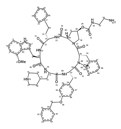 COc1cccc2[nH]cc(C[C@H]3NC(=O)[C@H](CCc4ccccc4)NC(=O)[C@@H]4C[C@@H](OC(=O)NCCN)CN4C(=O)[C@H](Cc4ccccc4)N(C)C(=O)[C@H](Cc4ccc(OCc5ccccc5)cc4)NC(=O)C(CC4CCNCC4)NC3=O)c12